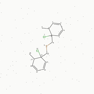 CC1C=CC=CC1(Cl)CSCC1(Cl)C=CC=CC1C